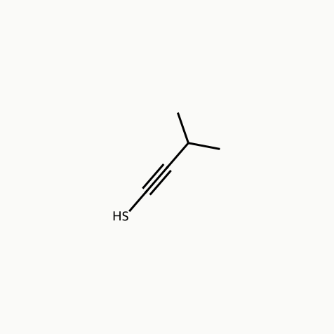 CC(C)C#CS